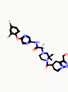 C[C@@H](C(=O)Nc1cnc(Oc2ccc(F)cc2F)cn1)N1CCN(C(=O)C2CCn3nnc(CO)c3C2)C(C)(C)C1